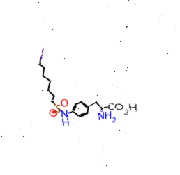 NC(Cc1ccc(NS(=O)(=O)CCCCCCCI)cc1)C(=O)O